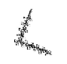 CC[N+](CC)(CC)CC.CC[N+](CC)(CC)CC.CC[N+](CC)(CC)CC.CC[N+](CC)(CC)CC.CC[N+](CC)(CC)CC.CC[N+](CC)(CC)CC.CC[N+](CC)(CC)CC.CC[N+](CC)(CC)CC.CC[N+](CC)(CC)CC.[F-].[F-].[F-].[F-].[F-].[F-].[O-]B([O-])[O-]